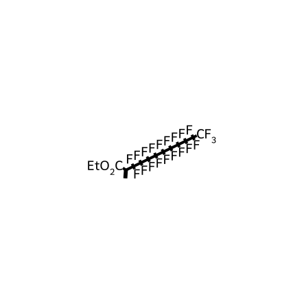 C=C(C(=O)OCC)C(F)(F)C(F)(F)C(F)(F)C(F)(F)C(F)(F)C(F)(F)C(F)(F)C(F)(F)C(F)(F)C(F)(F)F